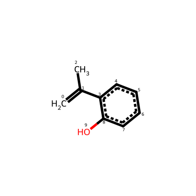 C=C(C)c1ccccc1O